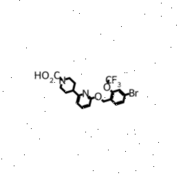 O=C(O)N1CCC(c2cccc(OCc3ccc(Br)cc3OC(F)(F)F)n2)CC1